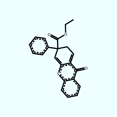 CCOC(=O)C1(c2ccccc2)C=c2sc3ccccc3c(=O)c2=CC1